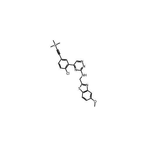 COc1ccc2sc(CNc3nncc(-c4cc(C#C[Si](C)(C)C)ccc4Cl)n3)nc2c1